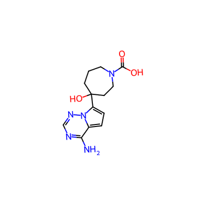 Nc1ncnn2c(C3(O)CCCN(C(=O)O)CC3)ccc12